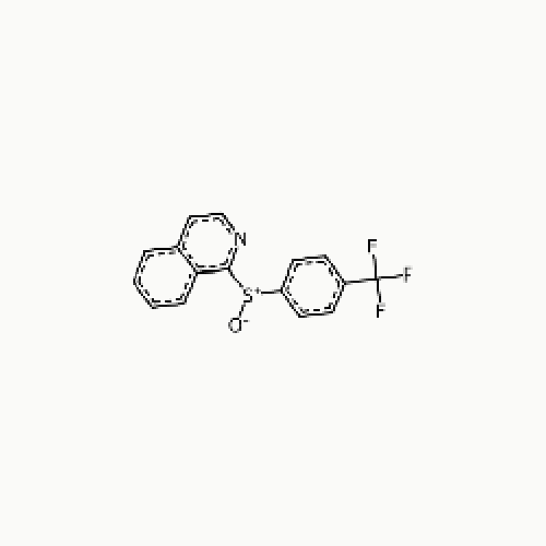 [O-][S+](c1ccc(C(F)(F)F)cc1)c1nccc2ccccc12